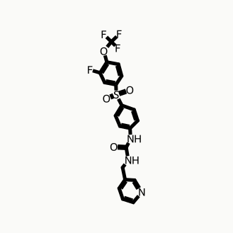 O=C(NCc1cccnc1)Nc1ccc(S(=O)(=O)c2ccc(OC(F)(F)F)c(F)c2)cc1